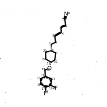 N#C/C=C/C=C/CC[C@H]1CC[C@H](OCc2ccc(F)c(F)c2)CC1